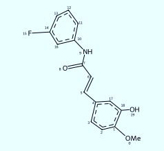 COc1ccc(C=CC(=O)Nc2cccc(F)c2)cc1O